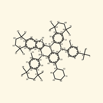 Cc1cc(C(C)(C)C)ccc1N1c2cc3c(cc2B2c4oc5cc6c(cc5c4N(c4cc5c(cc4C)C(C)(C)CCC5(C)C)c4cc(C5CCCCC5)cc1c42)C(C)(C)CCC6(C)C)C(C)(C)CCC3(C)C